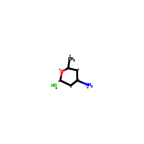 CC1CC(N)CCO1.Cl